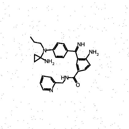 CCCN(c1ccc(C(=N)c2cc(C(=O)NCc3ccccn3)ccc2N)cc1)C1(N)CC1